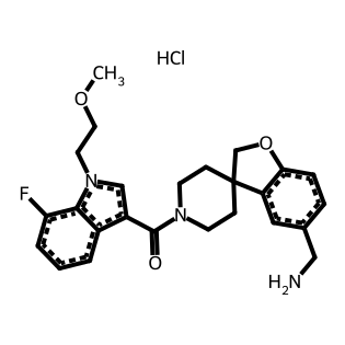 COCCn1cc(C(=O)N2CCC3(CC2)COc2ccc(CN)cc23)c2cccc(F)c21.Cl